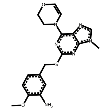 COc1ccc(CSc2nc(N3C=COCC3)c3ncn(C)c3n2)cc1N